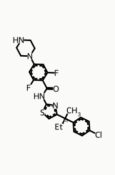 CC[C@@](C)(c1ccc(Cl)cc1)c1csc(NC(=O)c2c(F)cc(N3CCNCC3)cc2F)n1